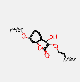 CCCCCCC=COc1c(O)c2ccc(OCCCCCC)cc2oc1=O